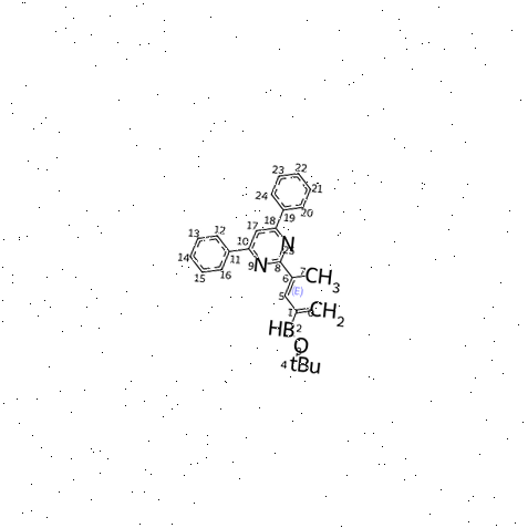 C=C(BOC(C)(C)C)/C=C(\C)c1nc(-c2ccccc2)cc(-c2ccccc2)n1